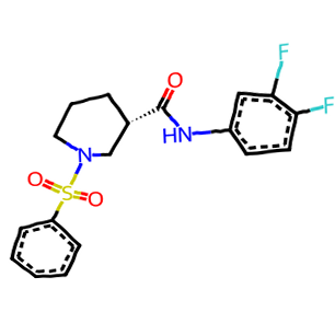 O=C(Nc1ccc(F)c(F)c1)[C@H]1CCCN(S(=O)(=O)c2ccccc2)C1